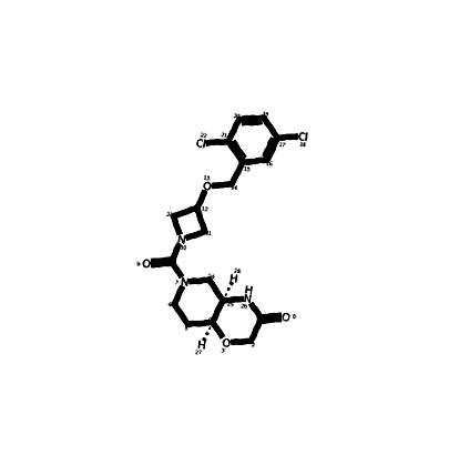 O=C1CO[C@H]2CCN(C(=O)N3CC(OCc4cc(Cl)ccc4Cl)C3)C[C@H]2N1